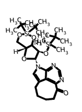 CC(C)(C)[Si](C)(C)O[C@@H]1[C@@H]2O[Si](C(C)(C)C)(C(C)(C)C)OC[C@H]2O[C@H]1n1cc2c3c(ncnc31)C(=O)CCCC2